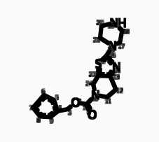 O=C(OCc1ccccc1)N1CCc2nc(N3CCNCC3)sc2C1